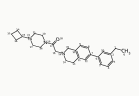 CCc1cccc(-c2ccc3c(c2)CCN(CC(=O)N2CCN(C4CCC4)CC2)C3)c1